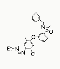 CCN(C)/C=N\c1cc(C)c(Oc2cccc(S(C)(=O)=NCc3ccccc3)c2)cc1Cl